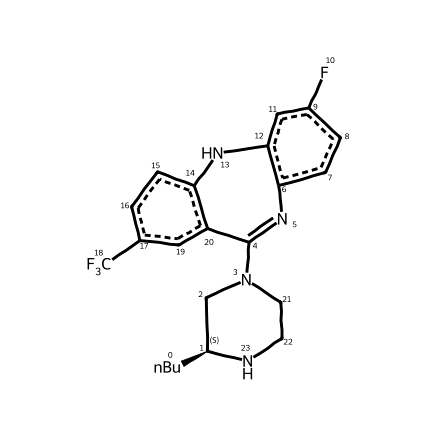 CCCC[C@H]1CN(C2=Nc3ccc(F)cc3Nc3ccc(C(F)(F)F)cc32)CCN1